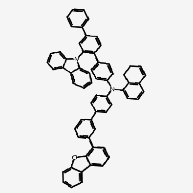 C1=Cc2cccc(N(c3ccc(-c4cccc(-c5cccc6c5oc5ccccc56)c4)cc3)c3ccc(-c4ccc(-c5ccccc5)cc4-n4c5ccccc5c5ccccc54)cc3)c2CC1